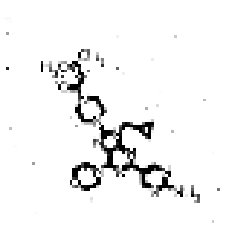 CN(C)CC(=O)N1CCN(c2nc3c(N4CCOCC4)nc(-c4cnc(N)nc4)nc3n2CC2CC2)CC1